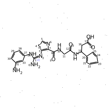 N/C(=N/c1scnc1C(=O)NCC(=O)NC(CC(=O)O)c1ccccc1)Nc1cccc(N)c1